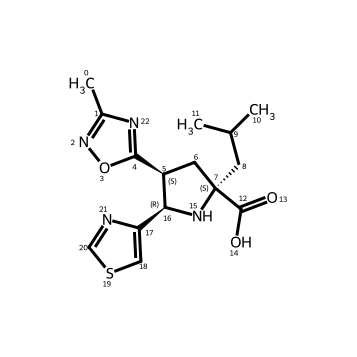 Cc1noc([C@H]2C[C@@](CC(C)C)(C(=O)O)N[C@H]2c2cscn2)n1